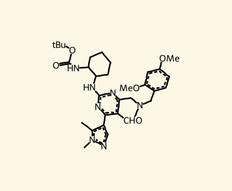 COc1ccc(CN(C)Cc2nc(NC3CCCCC3NC(=O)OC(C)(C)C)nc(-c3cnn(C)c3C)c2C=O)c(OC)c1